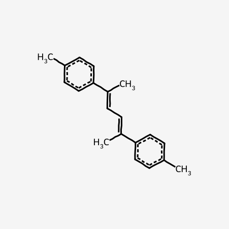 C/C(=C\C=C(/C)c1ccc(C)cc1)c1ccc(C)cc1